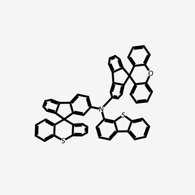 c1ccc2c(c1)Oc1ccccc1C21c2ccccc2-c2cc(N(c3ccc4c(c3)C3(c5ccccc5Sc5ccccc53)c3ccccc3-4)c3cccc4c3sc3ccccc34)ccc21